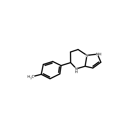 Cc1ccc(C2CCN3NC=CC3N2)cc1